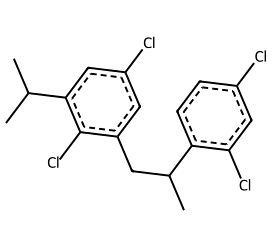 CC(C)c1cc(Cl)cc(CC(C)c2ccc(Cl)cc2Cl)c1Cl